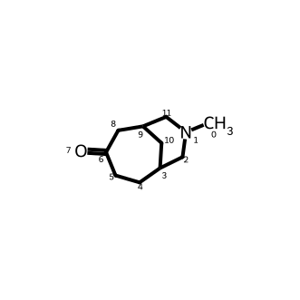 CN1CC2CCC(=O)CC(C2)C1